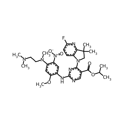 COc1cc(N(C)CCN(C)C)c([N+](=O)[O-])cc1Nc1ncc(C(=O)OC(C)C)c(N2CC(C)(C)c3nc(F)ccc32)n1